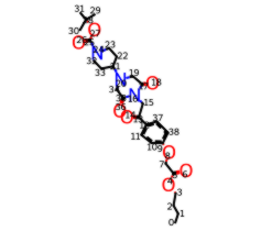 CCCCOC(=O)COc1ccc(C(=O)CN2C(=O)CN(C3CCN(C(=O)OC(C)(C)C)CC3)CC2=O)cc1